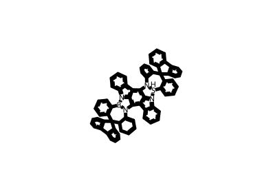 C1=CCC2C(=C1)N1B(c3ccccc3C23c2ccccc2-c2ccccc23)n2c3ccccc3c3c4c5c(c1c32)c1ccccc1n5[SH]1c2ccccc2C2(c3ccccc3-c3ccccc32)c2ccccc2N41